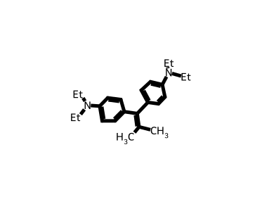 CCN(CC)c1ccc(C(=C(C)C)c2ccc(N(CC)CC)cc2)cc1